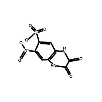 O=c1[nH]c2cc([N+](=O)[O-])c(S(=O)(=O)Cl)cc2[nH]c1=O